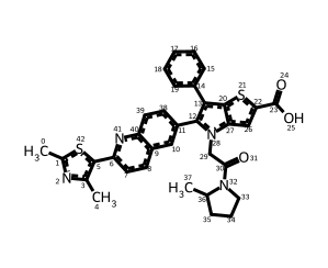 Cc1nc(C)c(-c2ccc3cc(-c4c(-c5ccccc5)c5sc(C(=O)O)cc5n4CC(=O)N4CCCC4C)ccc3n2)s1